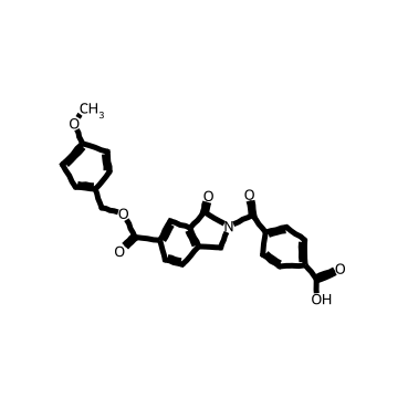 COc1ccc(COC(=O)c2ccc3c(c2)C(=O)N(C(=O)c2ccc(C(=O)O)cc2)C3)cc1